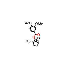 COc1cc(C(=O)OC2CC3CCC2(C)C3C(C)C)ccc1OC(C)=O